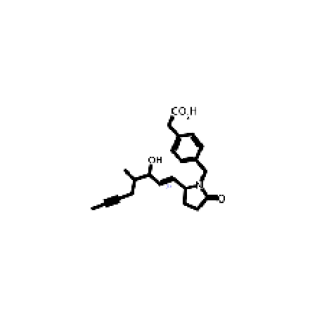 CC#CCC(C)C(O)/C=C/C1CCC(=O)N1Cc1ccc(CC(=O)O)cc1